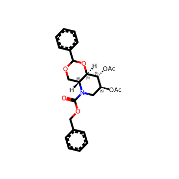 CC(=O)O[C@H]1[C@@H]2OC(c3ccccc3)OC[C@H]2N(C(=O)OCc2ccccc2)C[C@@H]1OC(C)=O